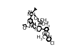 CC1(c2ccc(Cl)cn2)Oc2cccc(C3CCN(Cc4nc5cc(-c6nnc(C7CC7)n6COCC[Si](C)(C)C)cnc5n4C[C@@H]4CCO4)CC3)c2O1